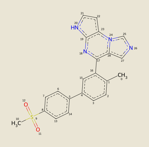 Cc1ccc(-c2ccc(S(C)(=O)=O)cc2)cc1-c1nc2[nH]ccc2n2cncc12